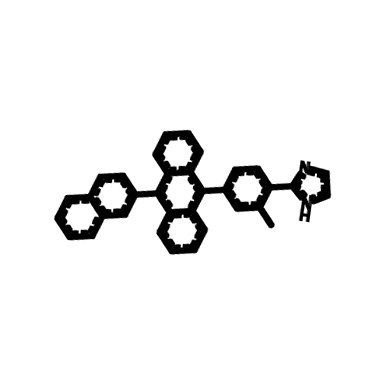 Cc1cc(-c2c3ccccc3c(-c3ccc4ccccc4c3)c3ccccc23)ccc1-c1ncc[nH]1